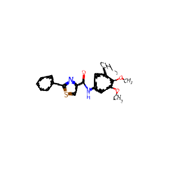 COc1cc(NC(=O)c2csc(-c3ccccc3)n2)cc(C)c1OC